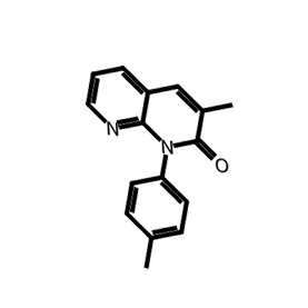 Cc1ccc(-n2c(=O)c(C)cc3cccnc32)cc1